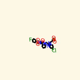 CS(=O)(=O)CCCn1c(CN2C(=O)C3(CN(S(=O)(=O)c4ccc(F)cc4)C3)c3ccccc32)nc2cc(Cl)ccc21